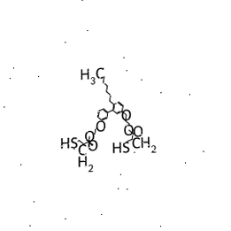 C=C(CS)C(=O)OCCOc1cccc(-c2cc(OCCOC(=O)C(=C)CS)ccc2CCCCCCC)c1